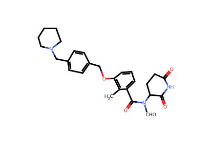 Cc1c(OCc2ccc(CN3CCCCC3)cc2)cccc1C(=O)N(C=O)C1CCC(=O)NC1=O